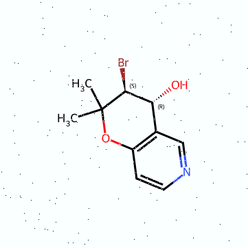 CC1(C)Oc2ccncc2[C@@H](O)[C@@H]1Br